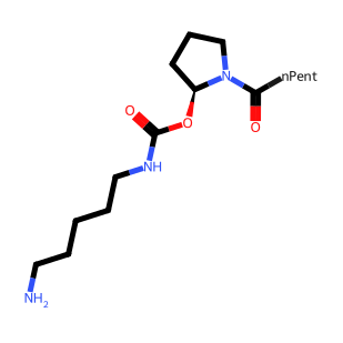 CCCCCC(=O)N1CCC[C@@H]1OC(=O)NCCCCCN